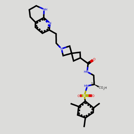 Cc1cc(C)c(S(=O)(=O)N[C@@H](CNC(=O)C2CC3(C2)CN(CCc2ccc4c(n2)NCCC4)C3)C(=O)O)c(C)c1